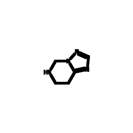 c1nc2n(n1)CNCC2